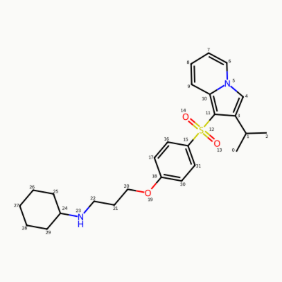 CC(C)c1cn2ccccc2c1S(=O)(=O)c1ccc(OCCCNC2CCCCC2)cc1